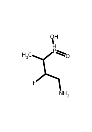 CC(C(F)CN)[PH](=O)O